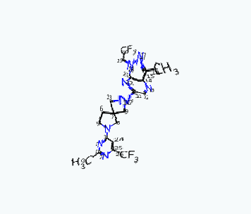 Cc1nc(N2CCC3(C2)CN(c2cnc4c(C)nn(CC(F)(F)F)c4n2)C3)cc(C(F)(F)F)n1